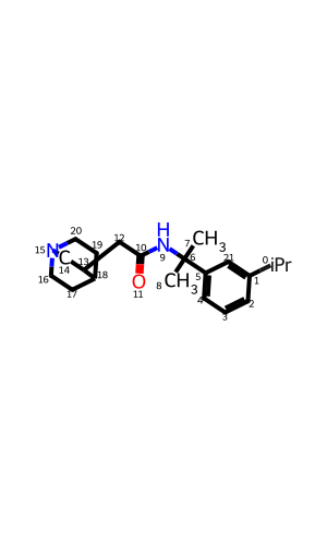 CC(C)c1cccc(C(C)(C)NC(=O)CC2CN3CCC2CC3)c1